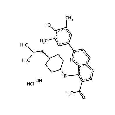 CC(=O)c1cnc2ccc(-c3cc(C)c(O)c(C)c3)nc2c1N[C@H]1CC[C@H](CN(C)C)CC1.Cl.Cl